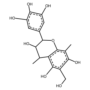 Cc1c(O)c(CO)c(O)c2c1OC(c1cc(O)c(O)c(O)c1)C(O)C2C